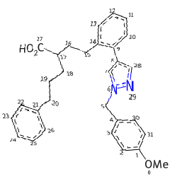 COc1ccc(Cn2cc(-c3ccccc3CCC(CCCc3ccccc3)C(=O)O)cn2)cc1